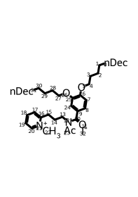 CCCCCCCCCCCCCCOc1ccc(C(=O)N(CCCc2cccc[n+]2C)C(C)=O)cc1OCCCCCCCCCCCCCC.[I-]